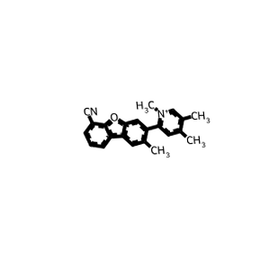 Cc1cc(-c2cc3oc4c(C#N)cccc4c3cc2C)[n+](C)cc1C